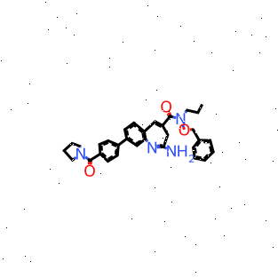 CCCN(OCc1ccccc1)C(=O)C1=Cc2ccc(-c3ccc(C(=O)N4CCCC4)cc3)cc2N=C(N)C1